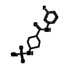 CC(C)(C)S(=O)(=O)NC1CCC(C(=O)Nc2cccc(F)c2)CC1